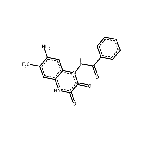 Nc1cc2c(cc1C(F)(F)F)[nH]c(=O)c(=O)n2NC(=O)c1ccccc1